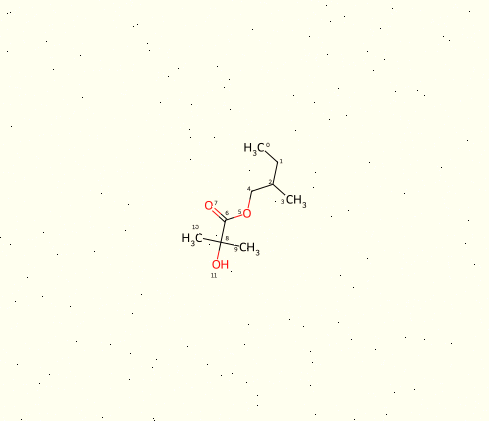 CCC(C)COC(=O)C(C)(C)O